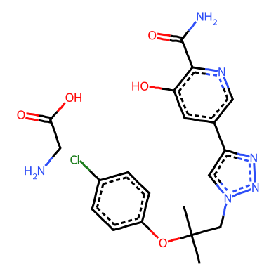 CC(C)(Cn1cc(-c2cnc(C(N)=O)c(O)c2)nn1)Oc1ccc(Cl)cc1.NCC(=O)O